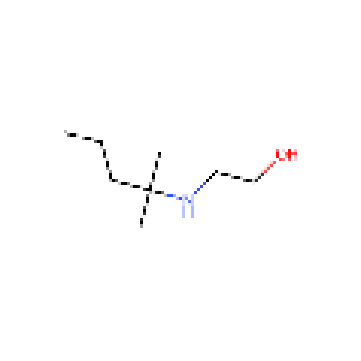 CCCC(C)(C)NCCO